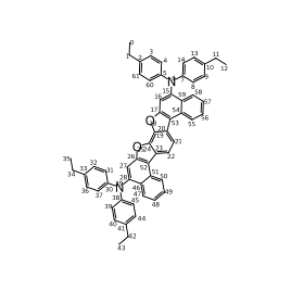 CCc1ccc(N(c2ccc(CC)cc2)c2cc3oc4c(ccc5c4oc4cc(N(c6ccc(CC)cc6)c6ccc(CC)cc6)c6ccccc6c45)c3c3ccccc23)cc1